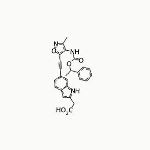 Cc1noc(C#Cc2ccc3cc(CC(=O)O)[nH]c3c2)c1NC(=O)OC(C)c1ccccc1